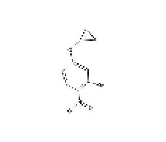 O=[N+]([O-])c1ccc(OC2CC2)cc1Br